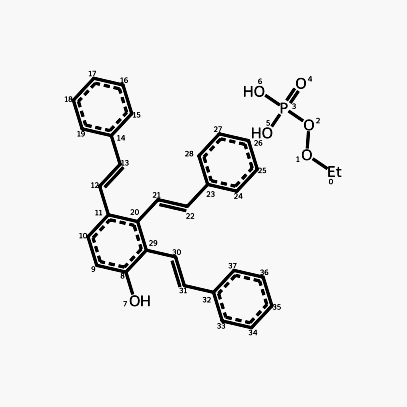 CCOOP(=O)(O)O.Oc1ccc(/C=C/c2ccccc2)c(/C=C/c2ccccc2)c1/C=C/c1ccccc1